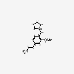 COc1cc(CCN)ccc1CN1CCCC1